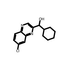 OC(c1cnc2ccc(Cl)cc2n1)C1CCCCC1